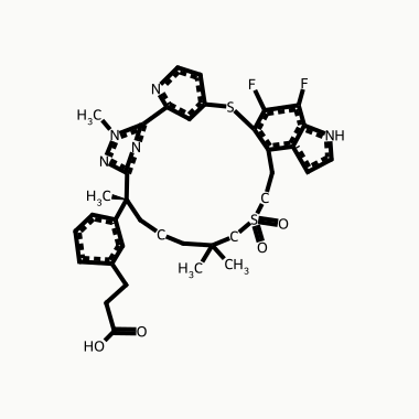 Cn1nc2nc1-c1cc(ccn1)Sc1c(F)c(F)c3[nH]ccc3c1CCS(=O)(=O)CC(C)(C)CCC[C@]2(C)c1cccc(CCC(=O)O)c1